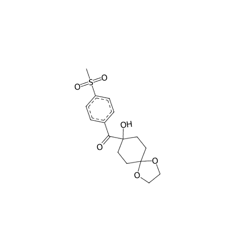 CS(=O)(=O)c1ccc(C(=O)C2(O)CCC3(CC2)OCCO3)cc1